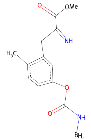 BNC(=O)Oc1ccc(C)c(CC(=N)C(=O)OC)c1